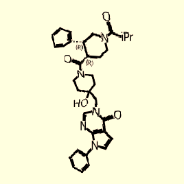 CC(C)C(=O)N1CC[C@@H](C(=O)N2CCC(O)(Cn3cnc4c(ccn4-c4ccccc4)c3=O)CC2)[C@H](c2ccccc2)C1